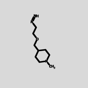 CN1CCC(COCCN=N)CC1